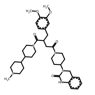 COc1ccc(CC(CC(=O)N2CCC(N3Cc4ccccc4NC3=O)CC2)C(=O)N2CCC(C3CCN(C)CC3)CC2)cc1OC